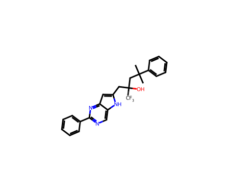 CC(C)(CC(O)(Cc1cc2nc(-c3ccccc3)ncc2[nH]1)C(F)(F)F)c1ccccc1